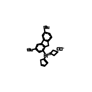 CC(C)(C)c1ccc2c(c1)-c1cc(C(C)(C)C)c[c]([Hf+2]([C]3=CC=CC3)=[C]3CCC3)c1C2.[Cl-].[Cl-]